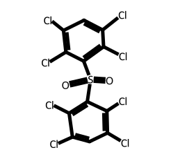 O=S(=O)(c1c(Cl)c(Cl)cc(Cl)c1Cl)c1c(Cl)c(Cl)cc(Cl)c1Cl